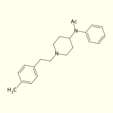 CC(=O)N(c1ccccc1)C1CCN(CCc2ccc(C)cc2)CC1